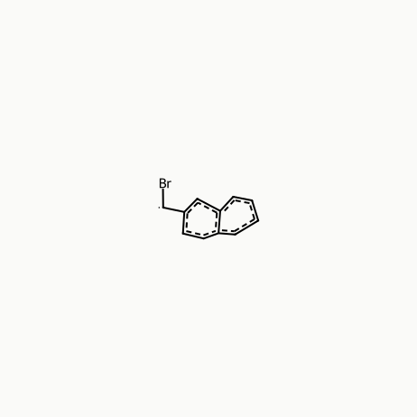 Br[CH]c1ccc2ccccc2c1